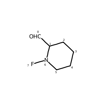 O=CC1CCCCN1F